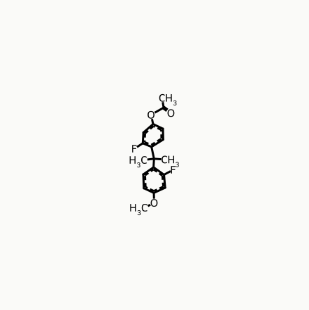 COc1ccc(C(C)(C)c2ccc(OC(C)=O)cc2F)c(F)c1